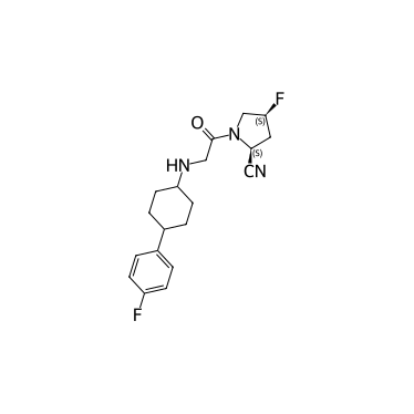 N#C[C@@H]1C[C@H](F)CN1C(=O)CNC1CCC(c2ccc(F)cc2)CC1